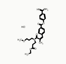 CCOC(=O)CCN(CCCOC)C(=O)C(C)=Cc1ccc(C(=O)Oc2ccc(C(=N)N)cc2)cc1.Cl